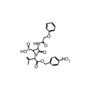 C=C(C)C(C(=O)OCc1ccc([N+](=O)[O-])cc1)N1C(=O)C(NC(=O)COc2ccccc2)C1S(=O)O